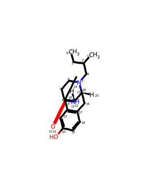 CCC(C)CN1CCC23CC(=O)NC[C@H]2[C@H]1Cc1ccc(O)cc13